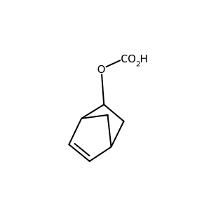 O=C(O)OC1CC2C=CC1C2